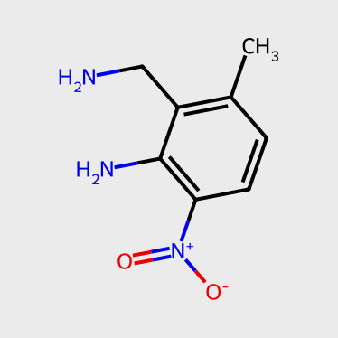 Cc1ccc([N+](=O)[O-])c(N)c1CN